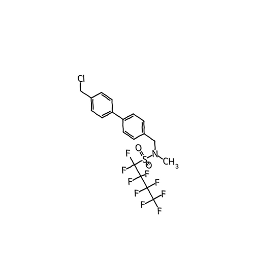 CN(Cc1ccc(-c2ccc(CCl)cc2)cc1)S(=O)(=O)C(F)(F)C(F)(F)C(F)(F)C(F)(F)F